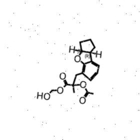 CC(=O)OC(C)(Cc1cccc2c1O[C@@H]1CCC[C@H]21)C(=O)OCO